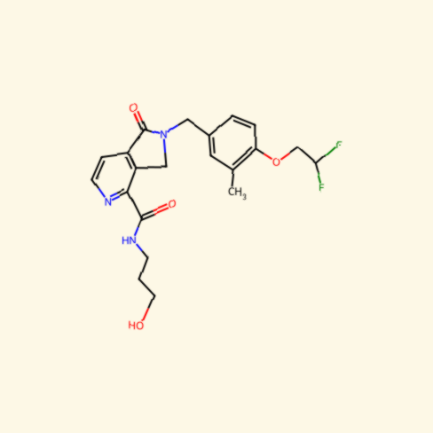 Cc1cc(CN2Cc3c(ccnc3C(=O)NCCCO)C2=O)ccc1OCC(F)F